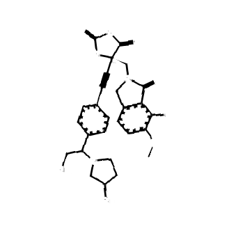 COc1ccc2c(c1F)C(=O)N(C[C@@]1(C#Cc3ccc(C(CN)N4CCC(N)C4)cc3)NC(=O)NC1=O)C2